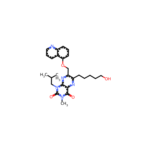 CC(C)Cn1c(=O)n(C)c(=O)c2nc(CCCCCO)c(COc3cccc4ncccc34)nc21